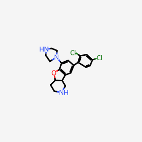 Clc1ccc(-c2cc3c(c(N4CCNCC4)c2)OC2CCNCC32)c(Cl)c1